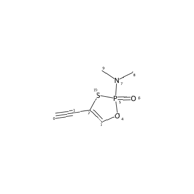 C#CC1=COP(=O)(N(C)C)S1